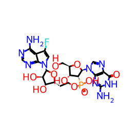 Nc1nc2c(ncn2[C@@H]2O[C@H](CO)[C@@H](O)[C@H]2P(=O)(O)OCC[C@H]2O[C@@H](n3cc(F)c4c(N)ncnc43)[C@H](O)[C@@H]2O)c(=O)[nH]1